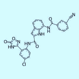 N#Cc1cccc(C(=O)Nc2cccc3cc(C(=O)Nc4ccc(Cl)cc4-c4noc(=O)[nH]4)[nH]c23)c1